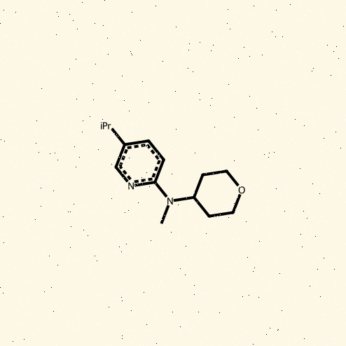 CC(C)c1ccc(N(C)C2CCOCC2)nc1